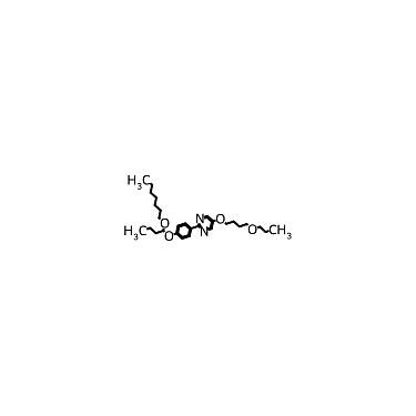 CCCCCCCOC(CCC)Oc1ccc(-c2ncc(OCCCCOCCC)cn2)cc1